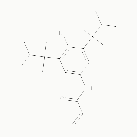 C=CC(=O)Nc1cc(C(C)(C)C(C)C)c(O)c(C(C)(C)C(C)C)c1